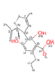 C=C(C)[C@]1(C)CCC(C)=CC1c1c(O)cc(CCC)c(C(=O)O)c1O